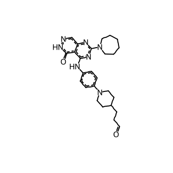 O=CCCC1CCN(c2ccc(Nc3nc(N4CCCCCC4)nc4cn[nH]c(=O)c34)cc2)CC1